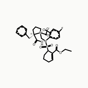 CCOC(=O)C1=CCCCC1S(=O)(=O)N(C[N+]1(C(=O)[O-])CCC[C@]1(Cc1ccccc1)C(=O)O)c1ccc(F)cc1Cl